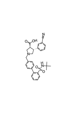 CC(C)(C)NS(=O)(=O)c1ccccc1-c1ccc(CN2C[C@@H](C(=O)O)[C@H](c3cccc(C#N)c3)C2)cc1